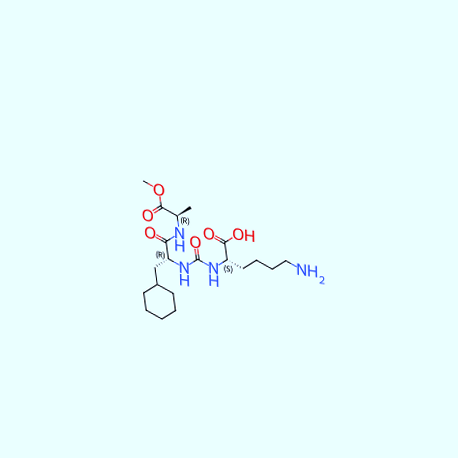 COC(=O)[C@@H](C)NC(=O)[C@@H](CC1CCCCC1)NC(=O)N[C@@H](CCCCN)C(=O)O